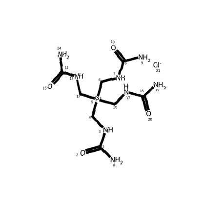 NC(=O)NC[P+](CNC(N)=O)(CNC(N)=O)CNC(N)=O.[Cl-]